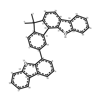 CC1(C)c2ccc(-c3cccc4c3oc3ccccc34)cc2-c2c1ccc1c2oc2ccccc21